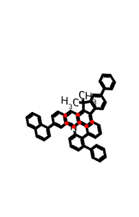 CC1(C)c2cc(-c3ccccc3)ccc2-c2ccc(N(c3cccc(-c4cccc5ccccc45)c3)c3cccc(-c4ccccc4)c3-c3ccccc3-c3ccccc3)cc21